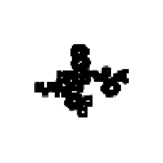 CN(C)CC1CCCCN1C(=O)CCC(=O)N1Cc2ccccc2C[C@H]1C(=O)N[C@@H](CCN)C(=O)Nc1ccc(Cl)c(Cl)c1F